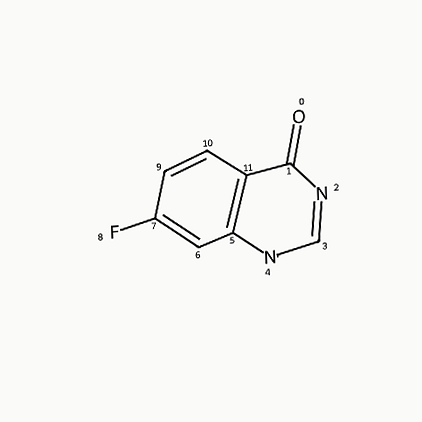 O=C1N=C[N]c2cc(F)ccc21